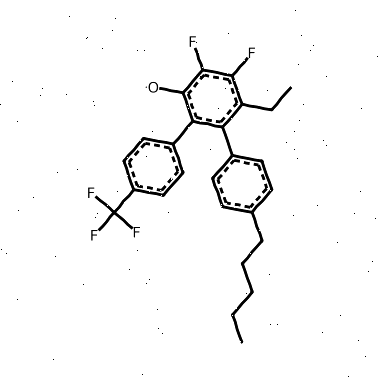 CCCCCc1ccc(-c2c(CC)c(F)c(F)c([O])c2-c2ccc(C(F)(F)F)cc2)cc1